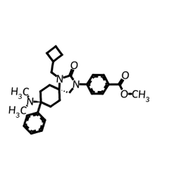 COC(=O)c1ccc(N2C[C@]3(CC[C@](c4ccccc4)(N(C)C)CC3)N(CC3CCC3)C2=O)cc1